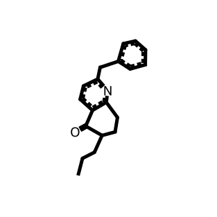 CCCC1CCc2nc(Cc3ccccc3)ccc2C1=O